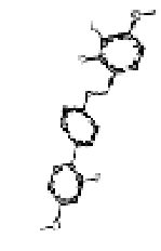 COc1ccc(-c2ccc(CCc3ccc(OC)c(F)c3F)cc2)c(F)c1